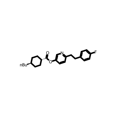 CCCC[C@H]1CC[C@H](C(=O)Oc2ccc(CCc3ccc(F)cc3)nc2)CC1